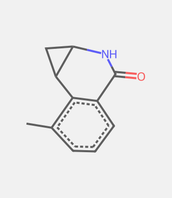 Cc1cccc2c1C1CC1NC2=O